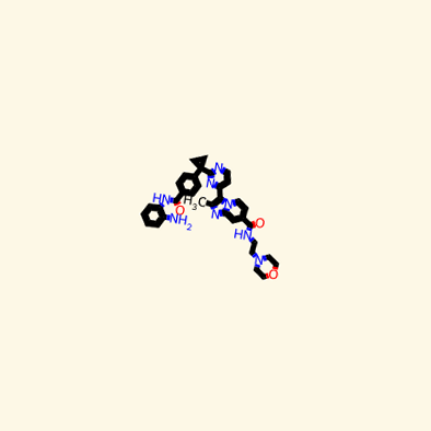 Cc1nc2cc(C(=O)NCCN3CCOCC3)ccn2c1-c1ccnc(C2(c3ccc(C(=O)Nc4ccccc4N)cc3)CC2)n1